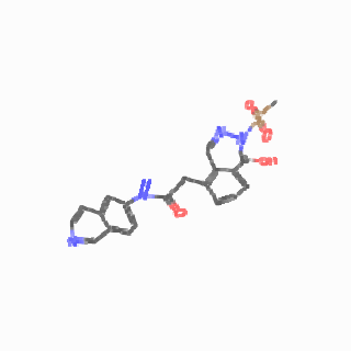 CS(=O)(=O)N1N=Cc2c(CC(=O)Nc3ccc4cnccc4c3)cccc2B1O